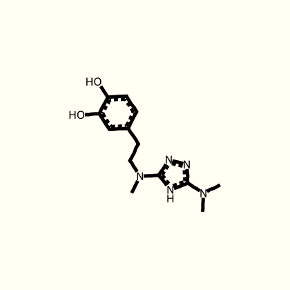 CN(C)c1nnc(N(C)CCc2ccc(O)c(O)c2)[nH]1